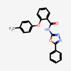 O=C(Nc1nnc(-c2ccccc2)o1)c1ccccc1Oc1ccc(C(F)(F)F)cc1